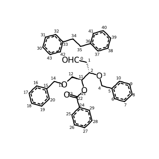 O=CC[C@H](OCc1ccccc1)[C@H](COCc1ccccc1)OC(=O)c1ccccc1.c1ccc(CCc2ccccc2)cc1